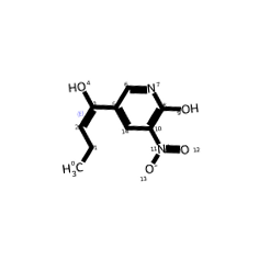 CC/C=C(/O)c1cnc(O)c([N+](=O)[O-])c1